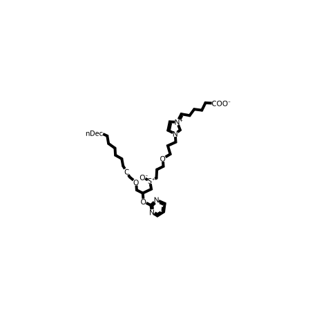 CCCCCCCCCCCCCCCCCCOCC(C[S+]([O-])CCCOCCCN1C=C[N+](=CCCCCC(=O)[O-])C1)Oc1ncccn1